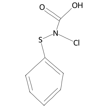 O=C(O)N(Cl)Sc1ccccc1